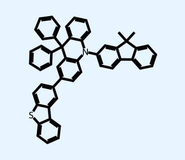 CC1(C)c2ccccc2-c2ccc(N3c4ccccc4C(c4ccccc4)(c4ccccc4)c4cc(-c5ccc6sc7ccccc7c6c5)ccc43)cc21